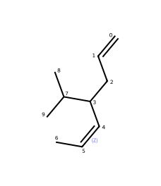 C=CCC(/C=C\C)C(C)C